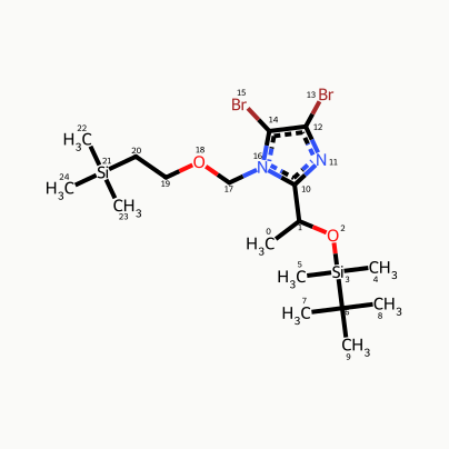 CC(O[Si](C)(C)C(C)(C)C)c1nc(Br)c(Br)n1COCC[Si](C)(C)C